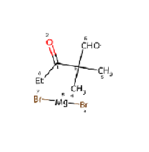 CCC(=O)C(C)(C)[C]=O.[Br][Mg][Br]